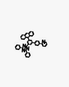 c1ccc(-c2nc(-c3ccccc3)nc(-c3cc(-c4ccc(-c5ccccn5)cc4)cc(-c4c5ccccc5cc5ccccc45)c3)n2)cc1